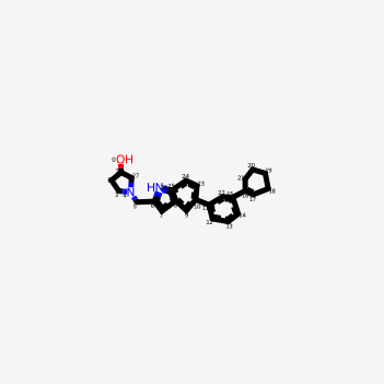 OC1CCN(Cc2cc3cc(-c4cccc(C5=CCCCC5)c4)ccc3[nH]2)C1